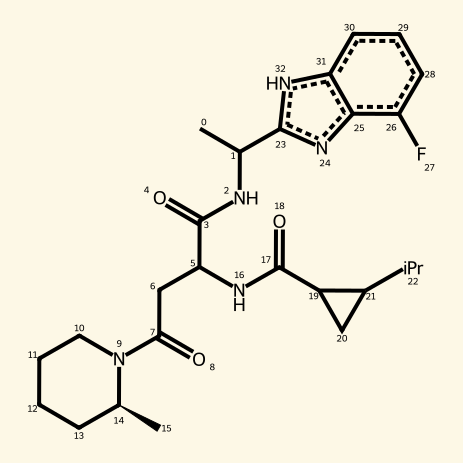 CC(NC(=O)C(CC(=O)N1CCCC[C@@H]1C)NC(=O)C1CC1C(C)C)c1nc2c(F)cccc2[nH]1